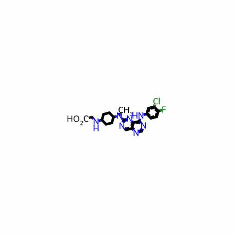 CN(c1ncc2ncnc(Nc3ccc(F)c(Cl)c3)c2n1)C1CCC(NCC(=O)O)CC1